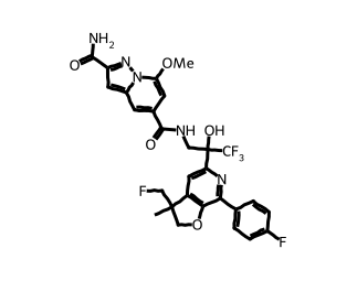 COc1cc(C(=O)NCC(O)(c2cc3c(c(-c4ccc(F)cc4)n2)OCC3(C)CF)C(F)(F)F)cc2cc(C(N)=O)nn12